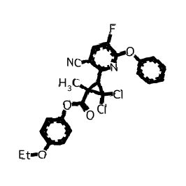 CCOc1ccc(OC(=O)C2(C)C(c3nc(Oc4ccccc4)c(F)cc3C#N)C2(Cl)Cl)cc1